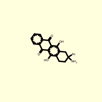 CC(=O)C1(N)CCc2c(O)c3c(c(O)c2C1)C(=O)c1ccccc1C3=O